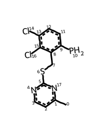 Cc1ccnc(SCc2c(P)ccc(Cl)c2Cl)n1